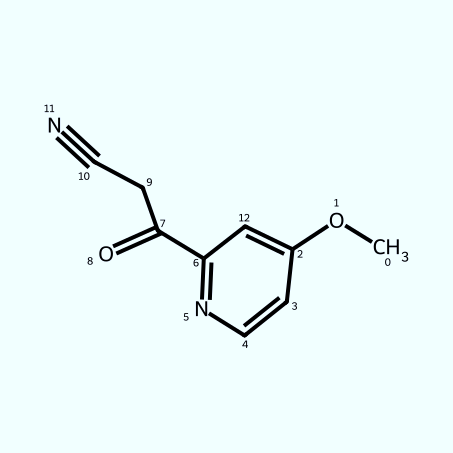 COc1ccnc(C(=O)CC#N)c1